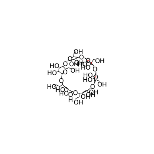 OCCC1OC(O)/C(O)=C(/O)C(CCO)OC2OC(CO)C(OC3OC(CO)C(OC4OC(CO)C(OC5OC(CO)C(OC(O)/C(O)=C\1O)C(O)C5O)C(O)C4O)C(O)C3O)C(O)C2O